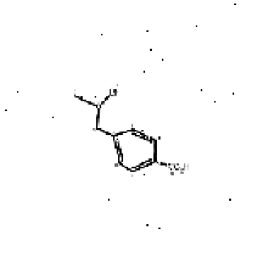 CC(Br)Cc1ccc(C(=O)O)cc1